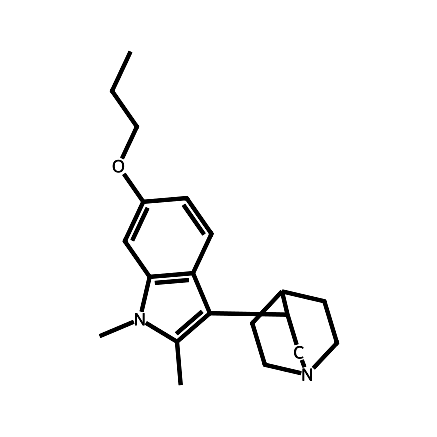 CCCOc1ccc2c(C3CN4CCC3CC4)c(C)n(C)c2c1